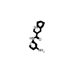 Nc1cccc(NC(=O)C(CS)Cc2ccccc2)c1